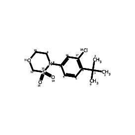 CC(C)(C)c1ccc(N2CCOCS2(=O)=O)cc1Cl